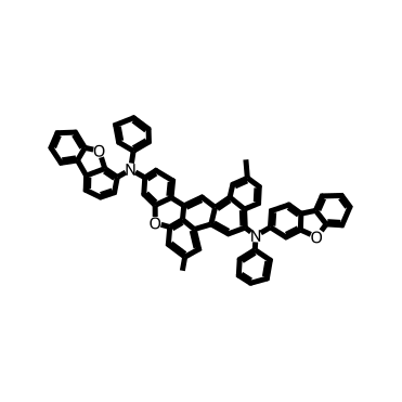 Cc1ccc2c(N(c3ccccc3)c3ccc4c(c3)oc3ccccc34)cc3c4cc(C)cc5c4c(cc3c2c1)-c1ccc(N(c2ccccc2)c2cccc3c2oc2ccccc23)cc1O5